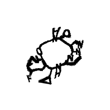 O=C1NCCOc2ncc(F)cc2C(C2CC2)Nc2ccn3ncc1c3n2